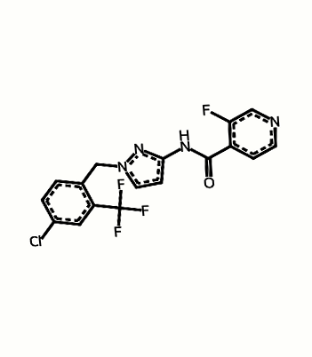 O=C(Nc1ccn(Cc2ccc(Cl)cc2C(F)(F)F)n1)c1ccncc1F